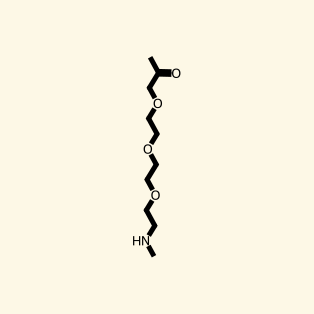 CNCCOCCOCCOCC(C)=O